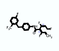 C=C/C(F)=C(C(=O)Nc1ccc(Cc2cc(F)ccc2C(F)(F)F)cc1)\C(F)=C/CF